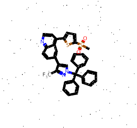 CS(=O)(=O)c1ccc(-c2ccnc3ccc(-c4cn(C(c5ccccc5)(c5ccccc5)c5ccccc5)nc4C(F)(F)F)cc23)s1